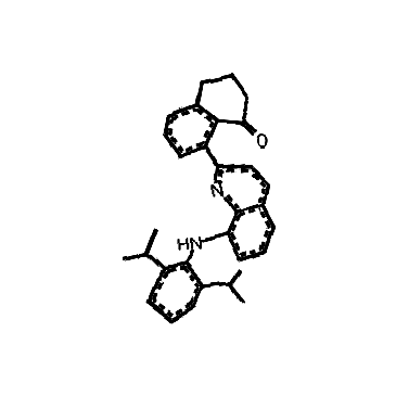 CC(C)c1cccc(C(C)C)c1Nc1cccc2ccc(-c3cccc4c3C(=O)CCC4)nc12